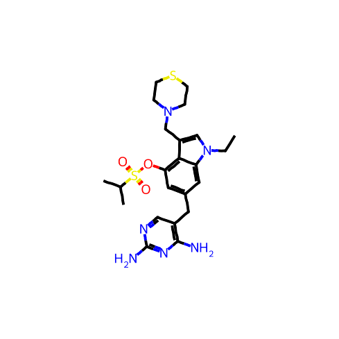 CCn1cc(CN2CCSCC2)c2c(OS(=O)(=O)C(C)C)cc(Cc3cnc(N)nc3N)cc21